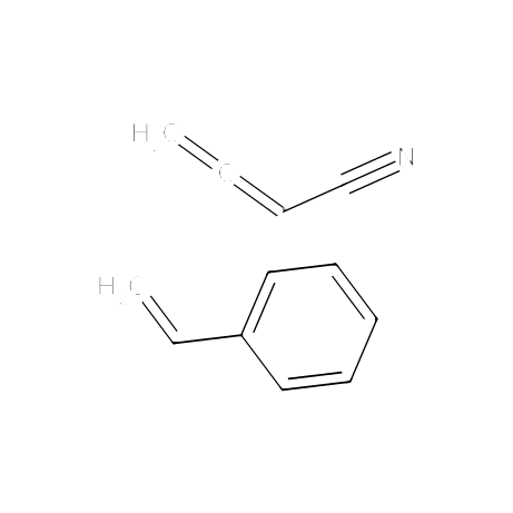 C=C=CC#N.C=Cc1ccccc1